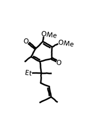 CCC(C)(CC=C(C)C)C1=C(C)C(=O)C(OC)=C(OC)C1=O